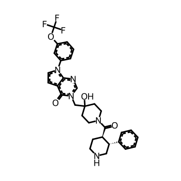 O=C([C@@H]1CCNC[C@H]1c1ccccc1)N1CCC(O)(Cn2cnc3c(ccn3-c3cccc(OC(F)(F)F)c3)c2=O)CC1